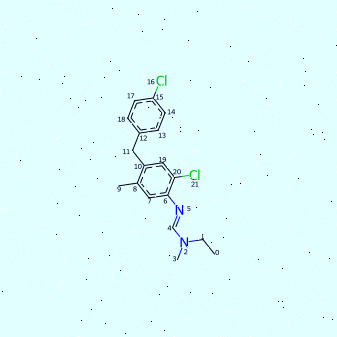 CCN(C)C=Nc1cc(C)c(Cc2ccc(Cl)cc2)cc1Cl